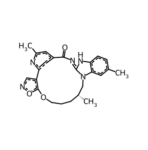 Cc1ccc2c(c1)N1C[C@H](C)CCCOc3oncc3-c3cc(cc(C)n3)C(=O)/N=C/1N2